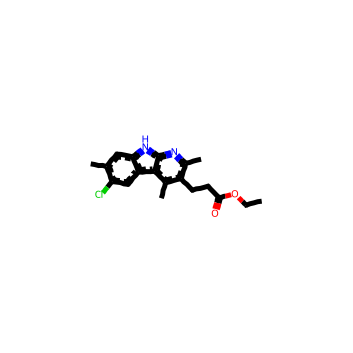 CCOC(=O)CCc1c(C)nc2[nH]c3cc(C)c(Cl)cc3c2c1C